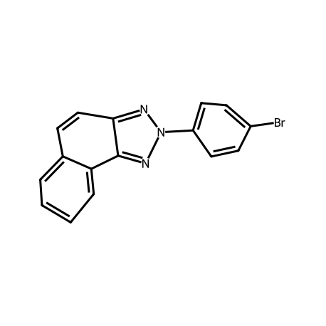 Brc1ccc(-n2nc3ccc4ccccc4c3n2)cc1